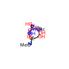 C=C(/C=C/C=C(\C)[C@@H]1C/C=C/C=C/[C@H](O)[C@H](C)[C@@H](O)[C@@H](CCC(C)=O)C(=O)N[C@@H](C(C)C)C(=O)N[C@@H](Cc2cccc(O)c2)C(=O)N2CCCC(N2)C(=O)O1)N(C)OC